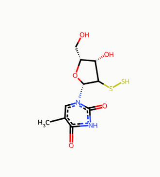 Cc1cn([C@@H]2O[C@H](CO)[C@H](O)C2SS)c(=O)[nH]c1=O